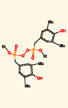 CCOP(=O)(Cc1cc(C(C)(C)C)c(O)c(C(C)(C)C)c1)OOP(=O)(Cc1cc(C(C)(C)C)c(O)c(C(C)(C)C)c1)OCC